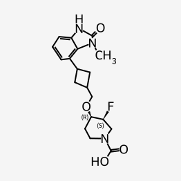 Cn1c(=O)[nH]c2cccc(C3CC(CO[C@@H]4CCN(C(=O)O)C[C@@H]4F)C3)c21